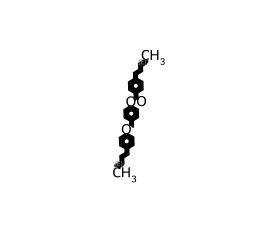 C/C=C/CCc1ccc(OCc2ccc(OC(=O)c3ccc(CC/C=C/C)cc3)cc2)cc1